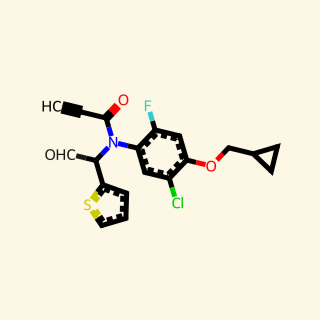 C#CC(=O)N(c1cc(Cl)c(OCC2CC2)cc1F)C(C=O)c1cccs1